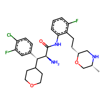 C[C@@H]1CO[C@H](CCc2c(F)cccc2NC(=O)[C@@H](N)[C@@H](c2ccc(Cl)c(F)c2)C2CCOCC2)CN1